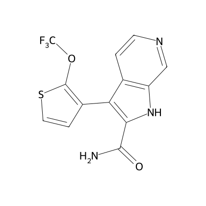 NC(=O)c1[nH]c2cnccc2c1-c1ccsc1OC(F)(F)F